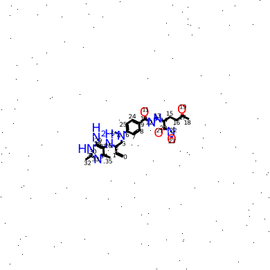 C=CC(CN(C)c1ccc(C(=O)N=NC(CCC(C)=O)C(=O)N=O)cc1)NC1=C(N)NC(C)N=C1C